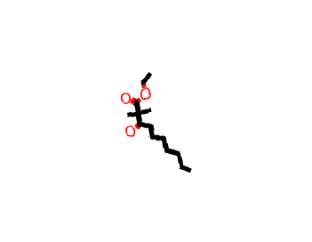 CCCCCCCC(=O)C(C)(C)C(=O)OCC